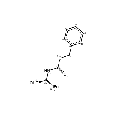 CC[C@H](C)[C@@H]([C]=O)NC(=O)OCc1ccccc1